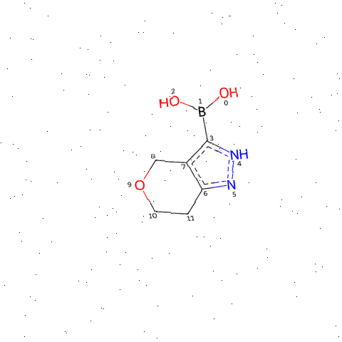 OB(O)c1[nH]nc2c1COCC2